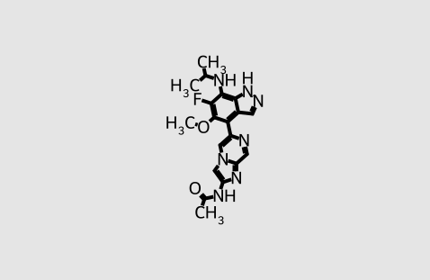 COc1c(F)c(NC(C)C)c2[nH]ncc2c1-c1cn2cc(NC(C)=O)nc2cn1